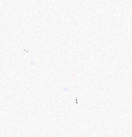 C[C@H](/C=C/S(C)(=O)=O)NC(=O)c1ccc(N[C@@H](C)c2ccccc2F)cc1F